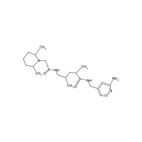 CC(CNC(=O)CN1C(C)CCCC1C)CC(C)C(=O)NCc1ccnc(N)c1